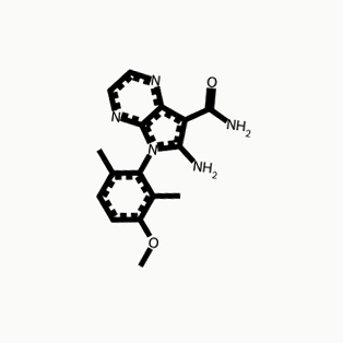 COc1ccc(C)c(-n2c(N)c(C(N)=O)c3nccnc32)c1C